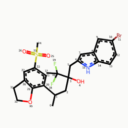 CC(CC(O)(Cc1cc2cc(Br)ccc2[nH]1)C(C)(F)F)c1cc(S(C)(=O)=O)cc2c1OCC2